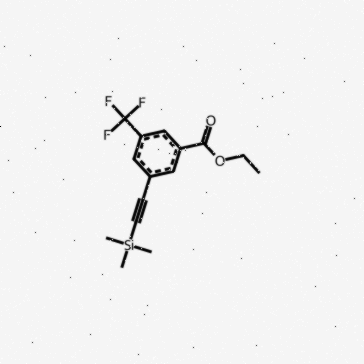 CCOC(=O)c1cc(C#C[Si](C)(C)C)cc(C(F)(F)F)c1